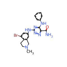 CN1CCc2c(Br)cc(Nc3nnc(C(N)=O)c(Nc4ccccc4)n3)cc2C1